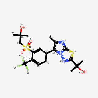 Cc1nc2sc(C(C)(C)O)nn2c1C1C=C(S(=O)(=O)CC(C)(C)O)C(C(F)(F)F)=CC1